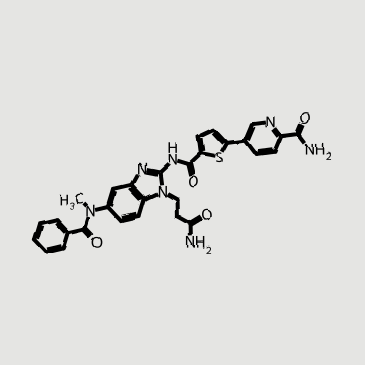 CN(C(=O)c1ccccc1)c1ccc2c(c1)nc(NC(=O)c1ccc(-c3ccc(C(N)=O)nc3)s1)n2CCC(N)=O